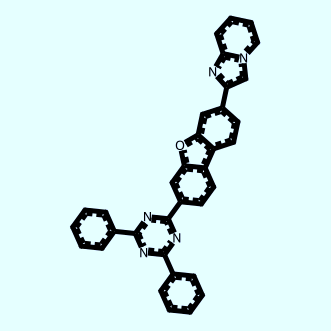 c1ccc(-c2nc(-c3ccccc3)nc(-c3ccc4c(c3)oc3cc(-c5cn6ccccc6n5)ccc34)n2)cc1